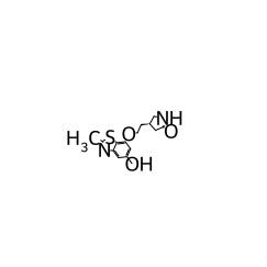 Cc1nc2cc(O)cc(OCC[C@H]3CNC(=O)C3)c2s1